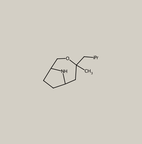 CC(C)CC1(C)CC2CCC(CO1)N2